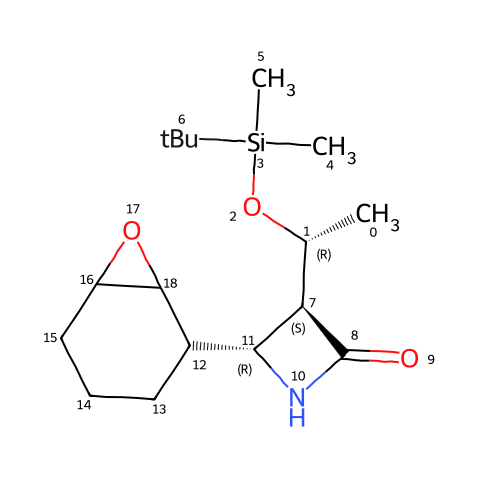 C[C@@H](O[Si](C)(C)C(C)(C)C)[C@H]1C(=O)N[C@@H]1C1CCCC2OC21